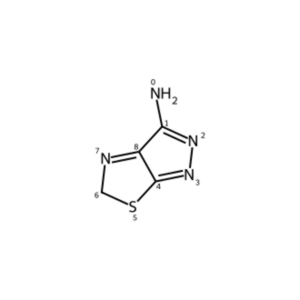 NC1=NN=C2SCN=C12